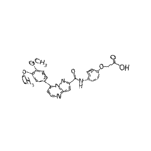 COc1ccc(-c2ccnc3cc(C(=O)Nc4ccc(OCC(=O)O)cc4)nn23)cc1OC